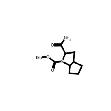 CC(C)(C)OC(=O)N1C(C(N)=O)CC2CCCC21